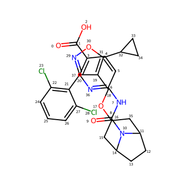 O=C(O)c1ccc(NC(=O)N2C3CCC2CC(OCc2c(-c4c(Cl)cccc4Cl)noc2C2CC2)C3)nc1